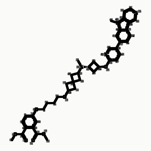 COC(=O)c1ccc(OCCCCOC2CC3(C2)CC(N(C)[C@H]2C[C@H](Oc4ccc(-c5ccc6c7cnccc7n(C)c6c5)cn4)C2)C3)cc1C(=O)OC